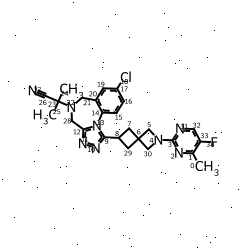 Cc1nc(N2CC3(CC(c4nnc5n4-c4ccc(Cl)cc4CN(C(C)(C)C#N)C5)C3)C2)ncc1F